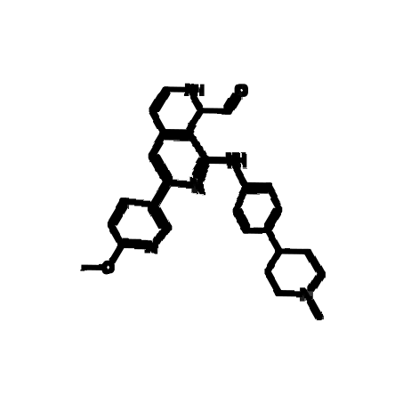 COc1ccc(-c2cc3c(c(Nc4ccc(C5CCN(C)CC5)cc4)n2)C(C=O)NC=C3)cn1